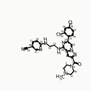 CN1CCN(C(=O)c2cc3c(NCCNc4ccc(C#N)cn4)nc(-c4ccc(Cl)cc4Cl)cn3n2)CC1